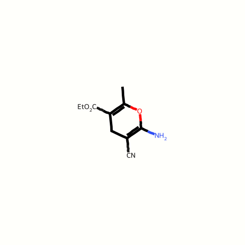 CCOC(=O)C1=C(C)OC(N)=C(C#N)C1